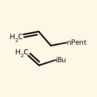 C=CC(C)CC.C=CCCCCCC